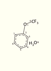 FC(F)(F)Oc1ccccc1.O